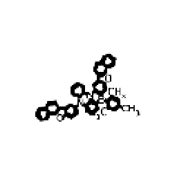 Cc1cc(C)c(B2c3cc4oc5c6ccccc6ccc5c4cc3N3c4ccccc4N(c4ccc5oc6c7ccccc7ccc6c5c4)c4cccc2c43)c(C)c1